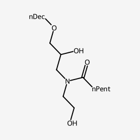 CCCCCCCCCCOCC(O)CN(CCO)C(=O)CCCCC